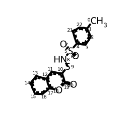 Cc1ccc(S(=O)(=O)NSc2cc3ccccc3oc2=O)cc1